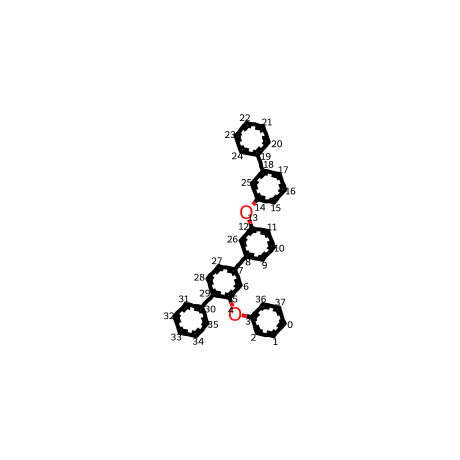 c1ccc(Oc2cc(-c3cccc(Oc4cccc(-c5ccccc5)c4)c3)ccc2-c2ccccc2)cc1